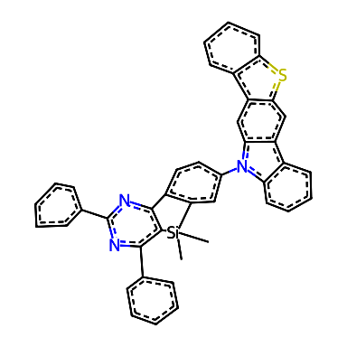 C[Si]1(C)c2cc(-n3c4ccccc4c4cc5sc6ccccc6c5cc43)ccc2-c2nc(-c3ccccc3)nc(-c3ccccc3)c21